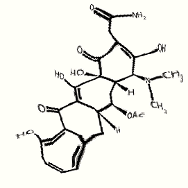 CC(=O)O[C@@H]1[C@H]2[C@H](N(C)C)C(O)=C(C(N)=O)C(=O)[C@@]2(O)C(O)=C2C(=O)c3c(O)cccc3C[C@H]21